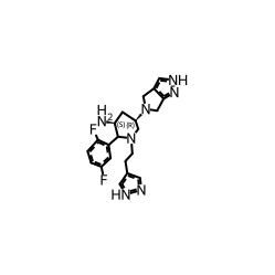 N[C@H]1C[C@@H](N2Cc3c[nH]nc3C2)CN(CCc2cn[nH]c2)C1c1cc(F)ccc1F